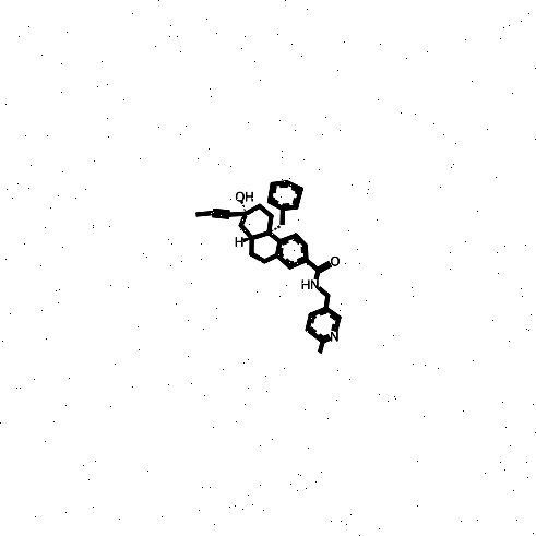 CC#C[C@@]1(O)CC[C@@]2(Cc3ccccc3)c3ccc(C(=O)NCc4ccc(C)nc4)cc3CC[C@@H]2C1